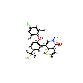 Cc1cc(F)cc(C)c1Oc1ccc(C(C)(C)F)cc1-c1cn(C)c(=O)c2ccsc12